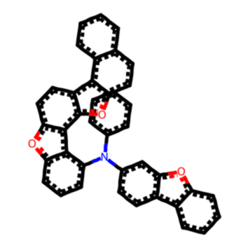 c1ccc(N(c2ccc3c(c2)oc2ccccc23)c2cccc3oc4ccc5c(oc6ccc7ccccc7c65)c4c23)cc1